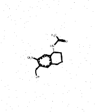 O=C(N[C@@H]1CCCc2cc(CO)c([N+](=O)[O-])cc21)C(F)(F)F